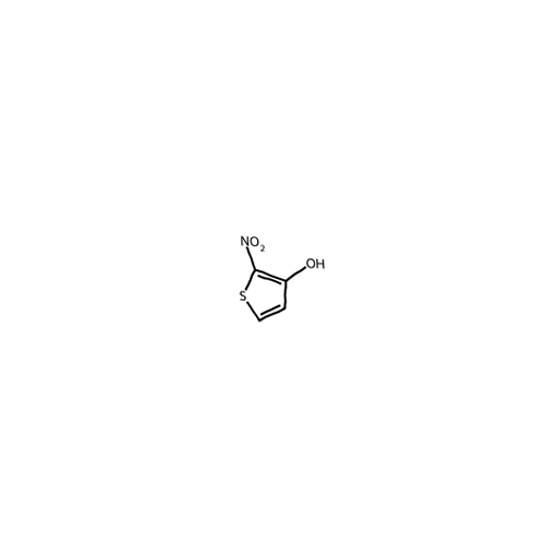 O=[N+]([O-])c1sccc1O